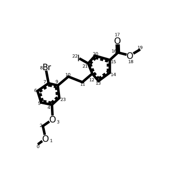 COCOc1ccc(Br)c(CCc2ccc(C(=O)OC)cc2I)c1